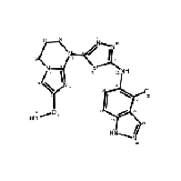 CCCOc1cn2c(n1)N(c1nnc(Nc3ccc4[nH]ncc4c3Cl)s1)CCC2